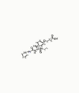 CCNC(=O)C(NC(=O)/C=C/c1ccccc1)Nc1ccc(OCCCC(=O)O)cc1